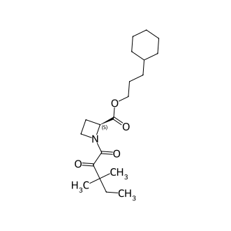 CCC(C)(C)C(=O)C(=O)N1CC[C@H]1C(=O)OCCCC1CCCCC1